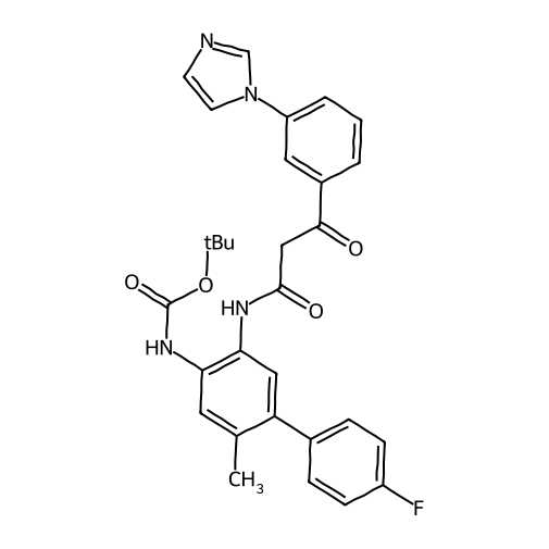 Cc1cc(NC(=O)OC(C)(C)C)c(NC(=O)CC(=O)c2cccc(-n3ccnc3)c2)cc1-c1ccc(F)cc1